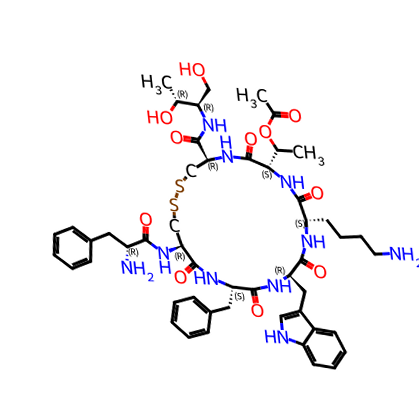 CC(=O)OC(C)[C@@H]1NC(=O)[C@H](CCCCN)NC(=O)[C@@H](Cc2c[nH]c3ccccc23)NC(=O)[C@H](Cc2ccccc2)NC(=O)[C@@H](NC(=O)[C@H](N)Cc2ccccc2)CSSC[C@@H](C(=O)N[C@H](CO)[C@@H](C)O)NC1=O